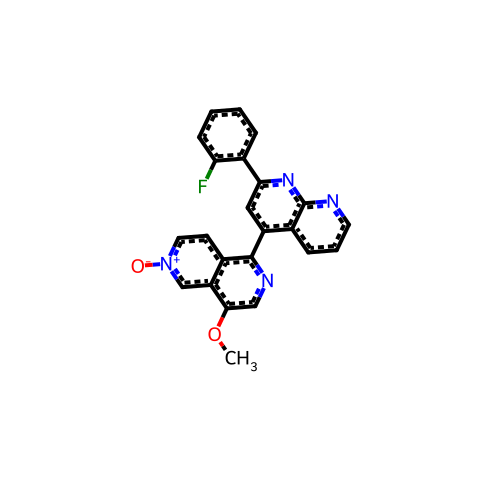 COc1cnc(-c2cc(-c3ccccc3F)nc3ncccc23)c2cc[n+]([O-])cc12